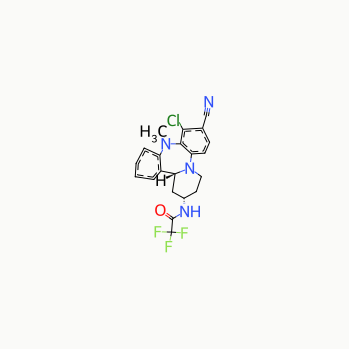 CN1c2ccccc2[C@H]2C[C@@H](NC(=O)C(F)(F)F)CCN2c2ccc(C#N)c(Cl)c21